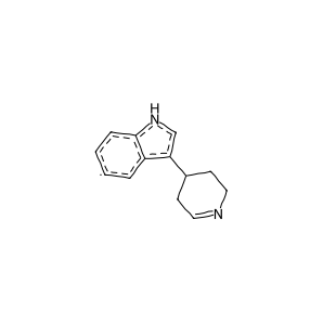 [c]1ccc2[nH]cc(C3CC=NCC3)c2c1